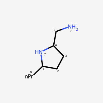 CCCC1CCC(CN)N1